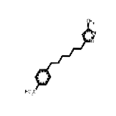 Cc1cc(CCCCCCc2ccc(C(=O)O)cc2)on1